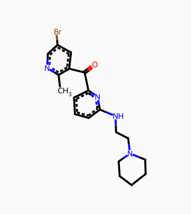 Cc1ncc(Br)cc1C(=O)c1cccc(NCCN2CCCCC2)n1